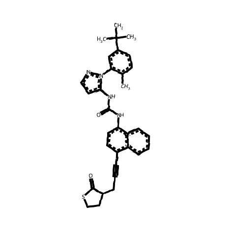 Cc1ccc(C(C)(C)C)cc1-n1nccc1NC(=O)Nc1ccc(C#CCC2CCSC2=O)c2ccccc12